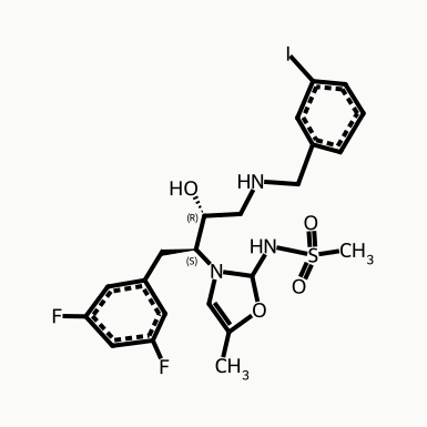 CC1=CN([C@@H](Cc2cc(F)cc(F)c2)[C@H](O)CNCc2cccc(I)c2)C(NS(C)(=O)=O)O1